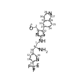 COCc1nc(NC[C@@H](N)Cc2ccc(C(F)(F)F)nc2)sc1-c1ccc2cnccc2c1